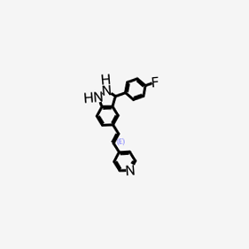 Fc1ccc(C2NNc3ccc(/C=C/c4ccncc4)cc32)cc1